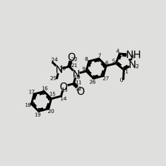 Cc1n[nH]cc1-c1ccc(N(C(=O)OCc2ccccc2)C(=O)N(C)C)cc1